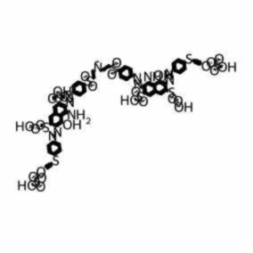 CN(CCS(=O)(=O)c1ccc(N=Nc2c(S(=O)(=O)O)cc3cc(SOOO)c(N=Nc4ccc(SC#COOS(=O)(=O)O)cc4)c(O)c3c2N)cc1)CCS(=O)(=O)c1ccc(N=Nc2c(S(=O)(=O)O)cc3cc(SOOO)c(N=Nc4ccc(SC#COOS(=O)(=O)O)cc4)c(O)c3c2N)cc1